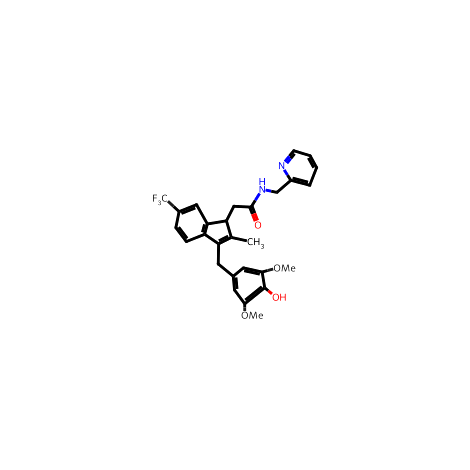 COc1cc(CC2=C(C)C(CC(=O)NCc3ccccn3)c3cc(C(F)(F)F)ccc32)cc(OC)c1O